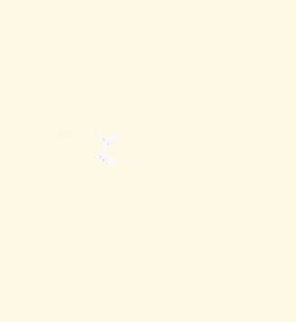 CC(C)Cn1ncc2cc(C(O)c3ccc(F)cc3)ccc21